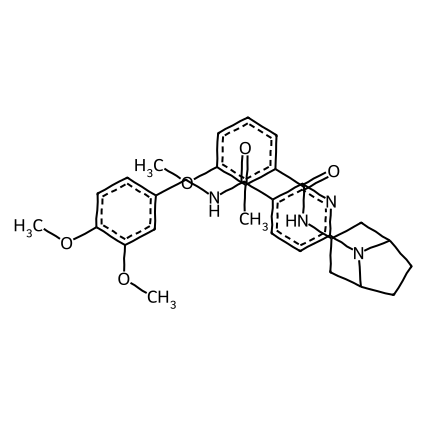 COc1ccc(CNC(=O)c2ccc(N3C4CCC3CC(NC(=O)c3cccc(OC)c3C)C4)nc2)cc1OC